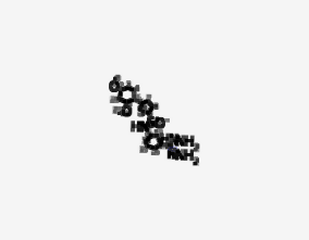 COc1ccc(-c2ccc([S+]([O-])Nc3cccc(/C(=N/N)NN)c3)s2)c(OC)c1